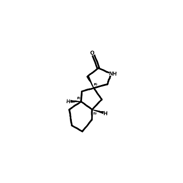 O=C1C[C@]2(CN1)C[C@H]1CCCC[C@H]1C2